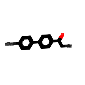 CCCCCCCCCCc1ccc(-c2ccc(C(=O)CC(C)=O)cc2)cc1